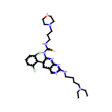 CCN(CC)CCCCNc1ncc2cc(-c3c(Cl)cccc3Cl)c(NC(=S)NCCCN3CCOCC3)nc2n1